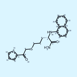 NC(=O)[C@H](CCCSCC(=O)c1cccs1)Nc1cccc2ccccc12